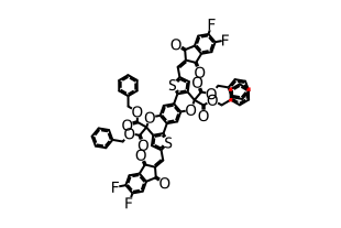 O=C1C(=Cc2cc3c(s2)-c2cc4c(cc2OC3(C(=O)OCc2ccccc2)C(=O)OCc2ccccc2)-c2sc(C=C3C(=O)c5cc(F)c(F)cc5C3=O)cc2C(C(=O)OCc2ccccc2)(C(=O)OCc2ccccc2)O4)C(=O)c2cc(F)c(F)cc21